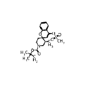 CC1CN(C(=O)OC(C)(C)C)CCC12C=C(OS(C)(=O)=O)c1ccccc1O2